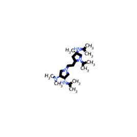 CC(C)N[C@H]1CN(CCC2C[C@@](C)(NC(C)C)CN2C(C)C)C[C@@H]1N(C)C